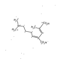 CC(=CC(=CCCCN(C)C)C(=O)O)C(=O)O